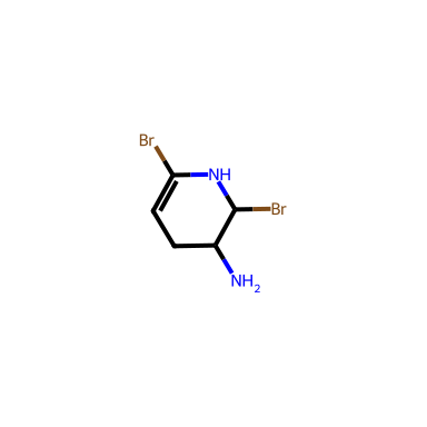 NC1CC=C(Br)NC1Br